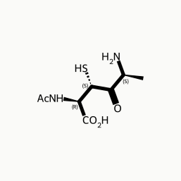 CC(=O)N[C@H](C(=O)O)[C@H](S)C(=O)[C@H](C)N